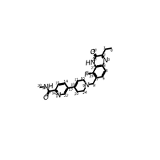 CCc1nc2ccc(CN3CC=C(c4ccc(C(=O)NC)nc4)CC3)c(F)c2[nH]c1=O